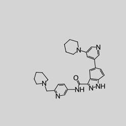 O=C(Nc1ccc(CN2CCCCC2)nc1)c1n[nH]c2ccc(-c3cncc(N4CCCCC4)c3)cc12